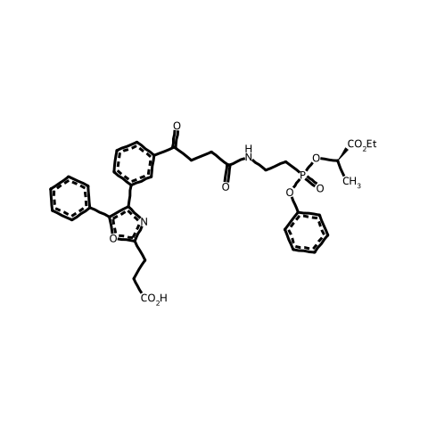 CCOC(=O)[C@@H](C)OP(=O)(CCNC(=O)CCC(=O)c1cccc(-c2nc(CCC(=O)O)oc2-c2ccccc2)c1)Oc1ccccc1